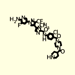 Cn1c(-c2cn(-c3cnc(N)c(F)c3)nc2C(F)(F)F)cnc1C(=O)Nc1ccc(C(=O)N2CCN(C(=O)C3CCNCC3)CC2)c(Cl)c1